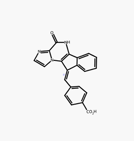 O=C(O)c1ccc(/C=c2\c3ccccc3c3[nH]c(=O)c4nccn4c23)cc1